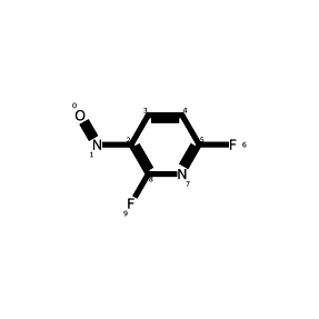 O=Nc1ccc(F)nc1F